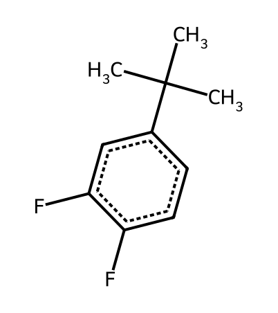 CC(C)(C)c1ccc(F)c(F)c1